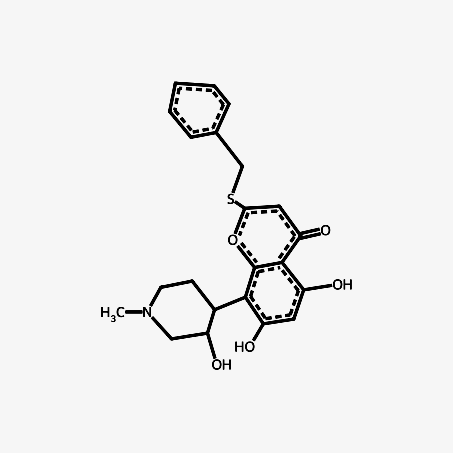 CN1CCC(c2c(O)cc(O)c3c(=O)cc(SCc4ccccc4)oc23)C(O)C1